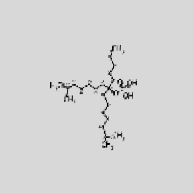 CCCCCC(CCCCCC(C)C)(CCCCCC(C)C)OP(=O)(O)O